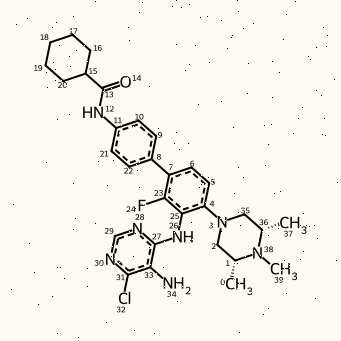 C[C@@H]1CN(c2ccc(-c3ccc(NC(=O)C4CCCCC4)cc3)c(F)c2Nc2ncnc(Cl)c2N)C[C@H](C)N1C